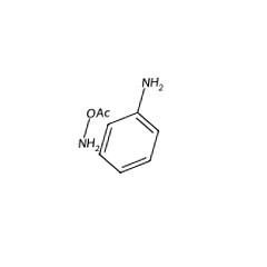 CC(=O)ON.Nc1ccccc1